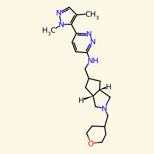 Cc1cnn(C)c1-c1ccc(NCC2C[C@@H]3CN(CC4CCOCC4)C[C@@H]3C2)nn1